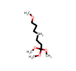 COCCC[SiH2]CCC(OC)(OC)OC